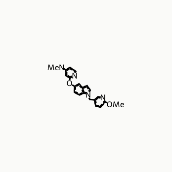 CNc1ccnc(Oc2ccc3c(ccn3Cc3ccc(OC)nc3)c2)c1